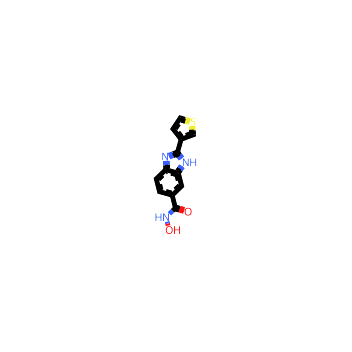 O=C(NO)c1ccc2nc(-c3ccsc3)[nH]c2c1